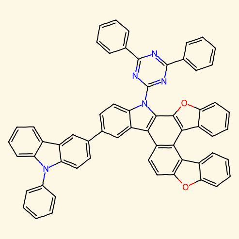 c1ccc(-c2nc(-c3ccccc3)nc(-n3c4ccc(-c5ccc6c(c5)c5ccccc5n6-c5ccccc5)cc4c4c5ccc6oc7ccccc7c6c5c5c6ccccc6oc5c43)n2)cc1